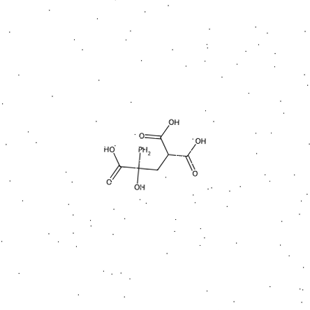 O=C(O)C(CC(O)(P)C(=O)O)C(=O)O